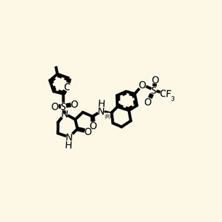 Cc1ccc(S(=O)(=O)N2CCNC(=O)C2CC(=O)N[C@@H]2CCCc3cc(OS(=O)(=O)C(F)(F)F)ccc32)cc1